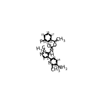 Cc1nc(-c2cnn(C)c2NC(=O)O[C@H](C)c2cccc(F)c2)ccc1N